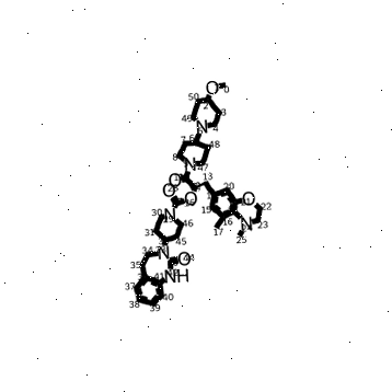 COC1CCN(C2CCN(C(=O)[C@@H](Cc3cc(C)c4c(c3)OCCN4C)OC(=O)N3CCC(N4CCc5ccccc5NC4=O)CC3)CC2)CC1